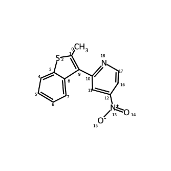 Cc1sc2ccccc2c1-c1cc([N+](=O)[O-])ccn1